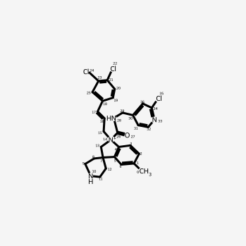 Cc1ccc2c(c1)C1(CCNCC1)C[N+]2(C/C=C/c1ccc(Cl)c(Cl)c1)C(=O)NCc1ccnc(Cl)c1